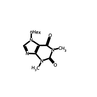 CCCCCCn1cnc2c1c(=O)n(C)c(=O)n2C